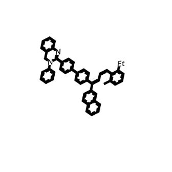 CCc1cccc(C)c1/C=C\C=C(/c1ccc(-c2ccc(C3=Nc4ccccc4CN3c3ccccc3)cc2)cc1)c1ccc2ccccc2c1